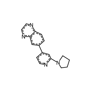 c1cc(-c2ccc3nccnc3c2)cc(N2CCCC2)n1